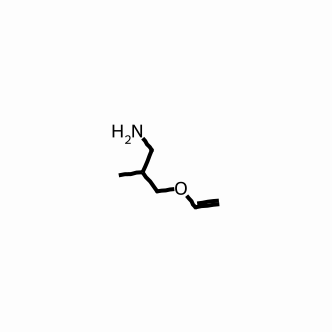 C=COCC(C)CN